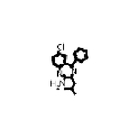 CC(C)CC1N=C(c2ccccc2)c2cc(Cl)ccc2N=C1N